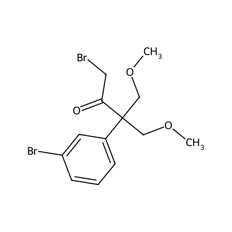 COCC(COC)(C(=O)CBr)c1cccc(Br)c1